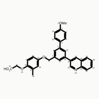 COc1ccc(-c2cc(COc3ccc(OCC(=O)O)c(C)c3)cc(-c3cnc4ccccc4c3)c2)cc1